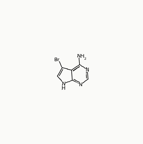 Nc1ncnc2[nH]cc(Br)c12